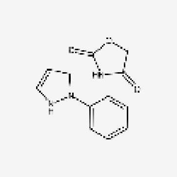 C1=CNN(c2ccccc2)C1.O=C1COC(=O)N1